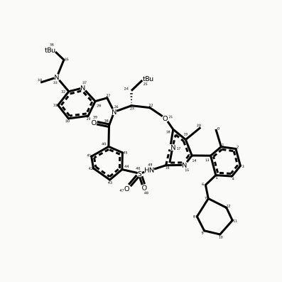 Cc1cccc(CC2CCCCC2)c1-c1nc2nc(c1C)OC[C@@H](CC(C)(C)C)N(Cc1cccc(N(C)CC(C)(C)C)n1)C(=O)c1cccc(c1)S(=O)(=O)N2